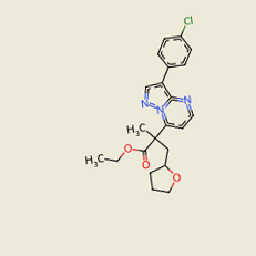 CCOC(=O)C(C)(CC1CCCO1)c1ccnc2c(-c3ccc(Cl)cc3)cnn12